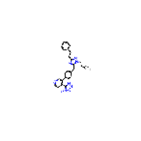 CCCn1nc(CCc2ccccc2)nc1Cc1ccc(-c2cnccc2-c2nnn[nH]2)cc1